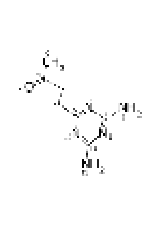 CC(=O)CCc1nc(N)nc(N)n1